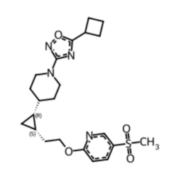 CS(=O)(=O)c1ccc(OCC[C@@H]2C[C@@H]2C2CCN(c3noc(C4CCC4)n3)CC2)nc1